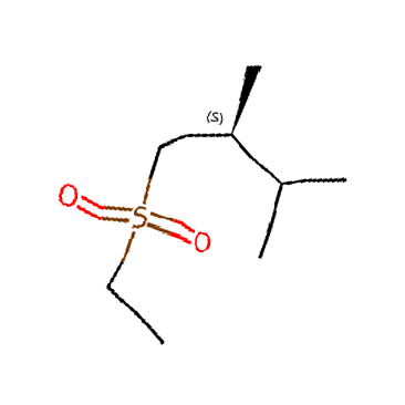 CCS(=O)(=O)C[C@@H](C)C(C)C